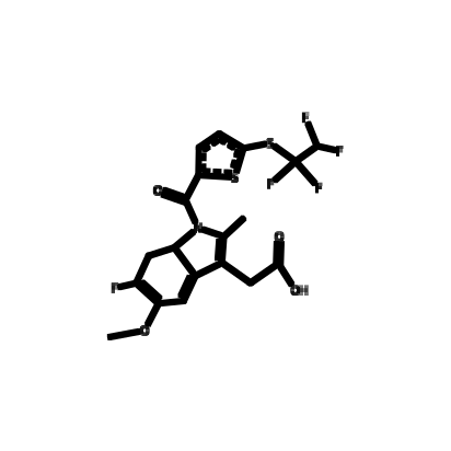 COC1=C(F)CC2C(=C1)C(CC(=O)O)=C(C)N2C(=O)c1ccc(SC(F)(F)C(F)F)s1